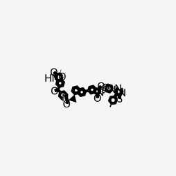 C[C@H]1CCc2c(sc3ncnc(N4CCO[C@@H](CN5C(=O)c6ccc(-c7ccc8c([C@@H]9C[C@@H]9C(=O)N9CCC(C(=O)c%10ccc%11c(c%10)NC(=O)[C@H](C)O%11)CC9)cccc8c7)cc6C5=O)C4)c23)C1